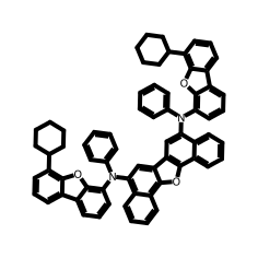 c1ccc(N(c2cc3c4cc(N(c5ccccc5)c5cccc6c5oc5c(C7CCCCC7)cccc56)c5ccccc5c4oc3c3ccccc23)c2cccc3c2oc2c(C4CCCCC4)cccc23)cc1